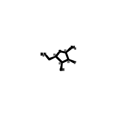 B[C@@H]1O[C@H](CN)[C@H](O)[C@@H]1F